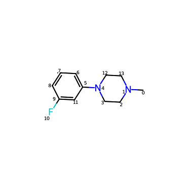 CN1CCN(c2c[c]cc(F)c2)CC1